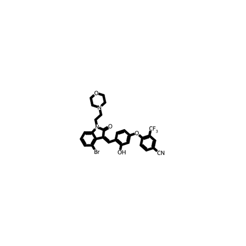 N#Cc1ccc(Oc2ccc(C=C3C(=O)N(CCN4CCOCC4)c4cccc(Br)c43)c(O)c2)c(C(F)(F)F)c1